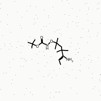 CC=C(N)C(C)(C)CC(C)(C)ONC(=O)OC(C)(C)C